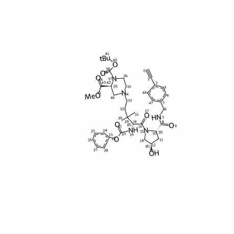 C#Cc1ccc(CNC(=O)[C@@H]2C[C@@H](O)CN2C(=O)[C@H](NC(=O)Oc2ccccc2)C(C)(C)CCN2CCN(C(=O)OC(C)(C)C)[C@H](C(=O)OC)C2)cc1